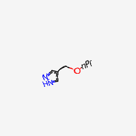 CCCOCc1cn[nH]c1